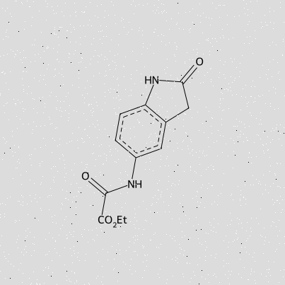 CCOC(=O)C(=O)Nc1ccc2c(c1)CC(=O)N2